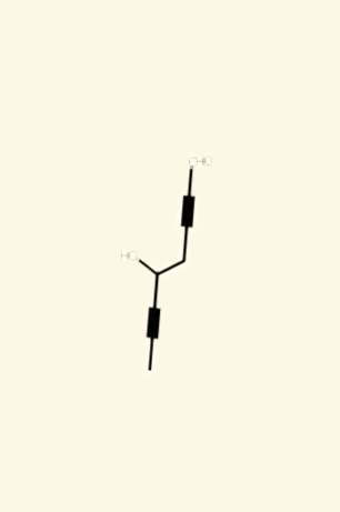 CC#CC(O)CC#CC=O